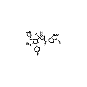 CCOc1c(Cn2cnnc2)cc([C@@](O)(CNC(=O)c2ccc(OC3CC3)c(OC)c2)C2CC2)nc1-c1ccc(F)cc1